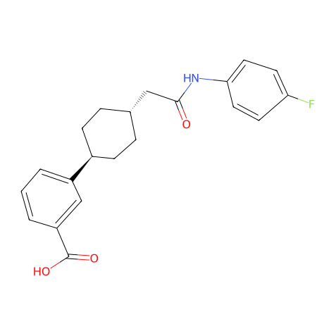 O=C(C[C@H]1CC[C@H](c2cccc(C(=O)O)c2)CC1)Nc1ccc(F)cc1